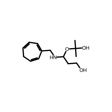 CC(C)(O)OC(CCO)NCC1=CC=CCC=C1